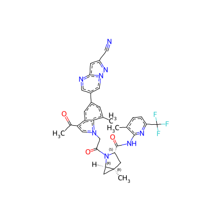 CC(=O)c1cn(CC(=O)N2[C@H](C(=O)Nc3nc(C(F)(F)F)ccc3C)C[C@@]3(C)C[C@@H]23)c2c(C)cc(-c3cnc4cc(C#N)nn4c3)cc12